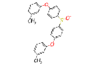 Cc1cccc(Oc2ccc([S+]([O-])c3ccc(Oc4cccc(C)c4)cc3)cc2)c1